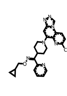 Clc1ccc2c(n1)c(N1CCC(/C(=N/OCC3CC3)c3ccccn3)CC1)cc1nncn12